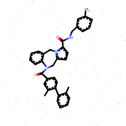 Cc1ccccc1-c1ccc(C(=O)N2Cc3ccc(C(=O)NCc4cccc(C(F)(F)F)c4)n3Cc3ccccc32)cc1C